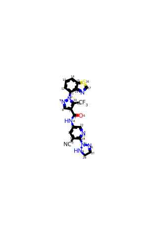 N#Cc1cc(NC(=O)c2cnn(-c3cccc4scnc34)c2C(F)(F)F)cnc1N1N=CCN1